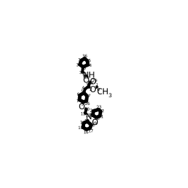 CCOC(Cc1ccc(OCCN2c3ccccc3Oc3ccccc32)cc1)C(=O)ONCc1ccccc1